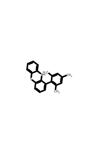 Cc1cc(C)c(-c2cccc3c2Nc2ccccc2S3)c(C)c1